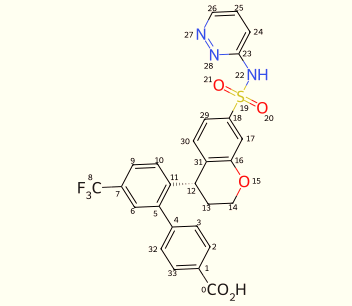 O=C(O)c1ccc(-c2cc(C(F)(F)F)ccc2[C@H]2CCOc3cc(S(=O)(=O)Nc4cccnn4)ccc32)cc1